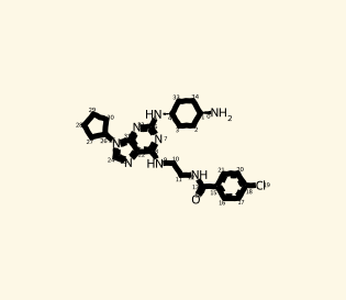 N[C@H]1CC[C@H](Nc2nc(NCCNC(=O)c3ccc(Cl)cc3)c3ncn(C4CCCC4)c3n2)CC1